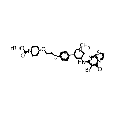 CN1C[C@H](Nc2nc3sccn3c(=O)c2Br)C[C@H](c2ccc(OCCOC3CCN(C(=O)OC(C)(C)C)CC3)cc2)C1